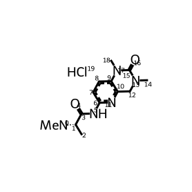 CN[C@@H](C)C(=O)Nc1ccc2c(n1)CN(C)C(=O)N2C.Cl